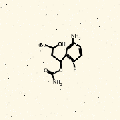 CC(C)(C)C(O)CC(OC(N)=O)c1cc(N)ccc1F